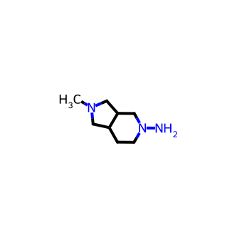 CN1CC2CCN(N)CC2C1